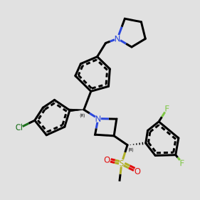 CS(=O)(=O)[C@@H](c1cc(F)cc(F)c1)C1CN([C@@H](c2ccc(Cl)cc2)c2ccc(CN3CCCC3)cc2)C1